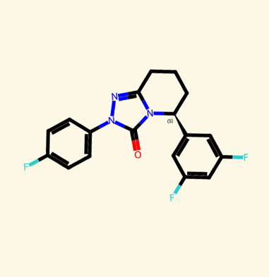 O=c1n(-c2ccc(F)cc2)nc2n1[C@H](c1cc(F)cc(F)c1)CCC2